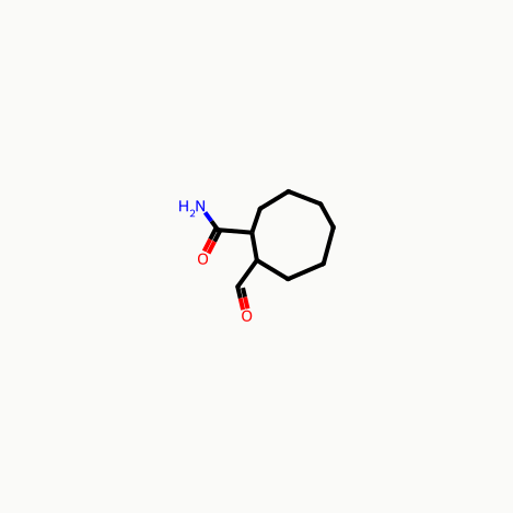 NC(=O)C1CCCCCCC1C=O